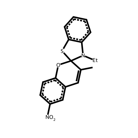 CCN1c2ccccc2SC12Oc1ccc([N+](=O)[O-])cc1C=C2C